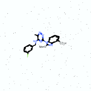 COc1nc2c(C(=O)O)cccc2n1-c1nnc(C)c(NCc2cccc(F)c2)n1